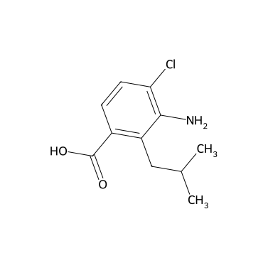 CC(C)Cc1c(C(=O)O)ccc(Cl)c1N